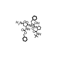 CC(C)(C)NC(=O)[C@@H]1CCCN1C(=O)C(O)[C@H](Cc1ccccc1)NC(=O)[C@H](CC(N)=O)NC(=O)OCc1ccccc1